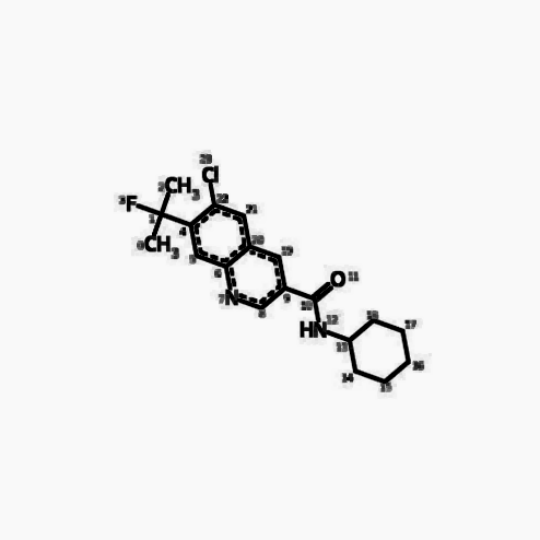 CC(C)(F)c1cc2ncc(C(=O)NC3CCCCC3)cc2cc1Cl